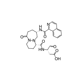 O=C[C@H](CC(=O)O)NC(=O)[C@@H]1CCCN2C(=O)CC[C@H](NC(=O)c3nccc4ccccc34)CN12